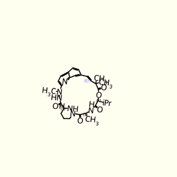 CC(C)[C@@H]1OC(=O)C(C)(C)/C=C/c2ccc3ccc(nc3c2)N(C)NC(=O)[C@@H]2CCCN(N2)C(=O)[C@H](C)NC1=O